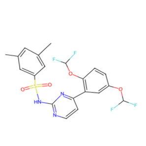 Cc1cc(C)cc(S(=O)(=O)Nc2nccc(-c3cc(OC(F)F)ccc3OC(F)F)n2)c1